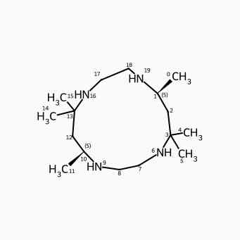 C[C@H]1CC(C)(C)NCCN[C@@H](C)CC(C)(C)NCCN1